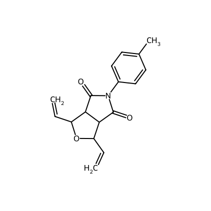 C=CC1OC(C=C)C2C(=O)N(c3ccc(C)cc3)C(=O)C12